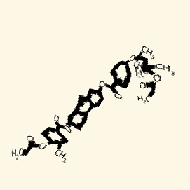 C=CC(=O)Oc1ccc(C(=O)Oc2ccc3c(ccc4cc(OC(=O)c5ccc(OC(C)(C)CC(C)(CC)OC(=O)C=C)cc5)ccc43)c2)cc1C